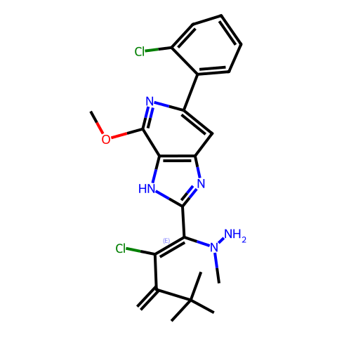 C=C(/C(Cl)=C(/c1nc2cc(-c3ccccc3Cl)nc(OC)c2[nH]1)N(C)N)C(C)(C)C